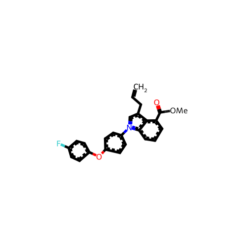 C=CCc1cn(-c2ccc(Oc3ccc(F)cc3)cc2)c2cccc(C(=O)OC)c12